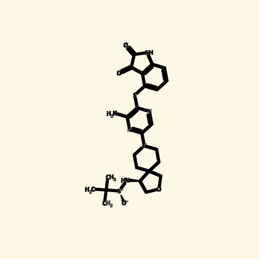 CC(C)(C)[S@@+]([O-])N[C@@H]1COCC12CCN(c1cnc(Sc3cccc4c3C(=O)C(=O)N4)c(N)n1)CC2